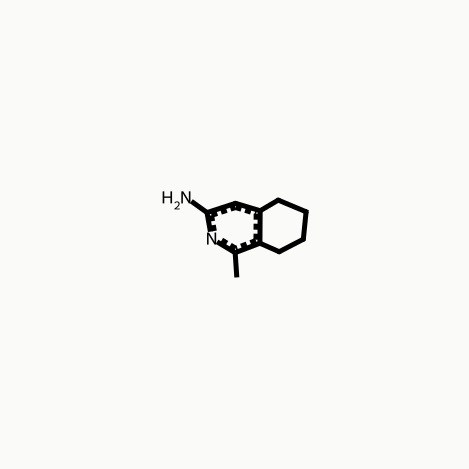 Cc1nc(N)cc2c1CCCC2